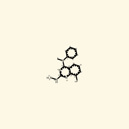 CN(c1ccccc1)c1nc(NN)nc2c(F)cccc12